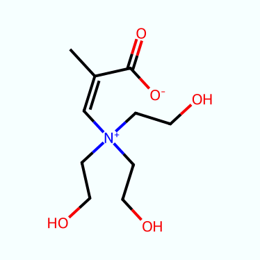 CC(=C[N+](CCO)(CCO)CCO)C(=O)[O-]